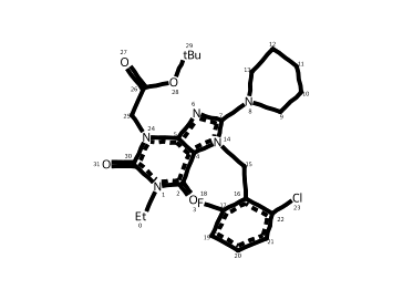 CCn1c(=O)c2c(nc(N3CCCCC3)n2Cc2c(F)cccc2Cl)n(CC(=O)OC(C)(C)C)c1=O